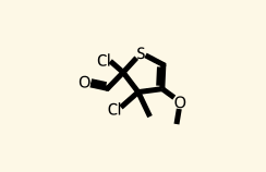 COC1=CSC(Cl)(C=O)C1(C)Cl